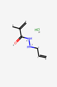 C=CCNNC(=O)C(=C)C.Cl